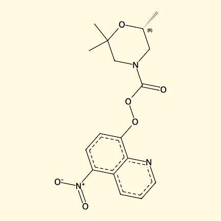 C[C@@H]1CN(C(=O)OOc2ccc([N+](=O)[O-])c3cccnc23)CC(C)(C)O1